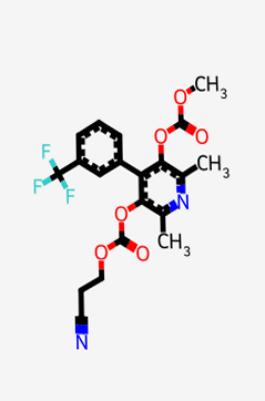 COC(=O)Oc1c(C)nc(C)c(OC(=O)OCCC#N)c1-c1cccc(C(F)(F)F)c1